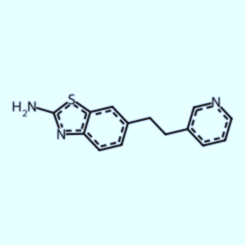 Nc1nc2ccc(CCc3cccnc3)cc2s1